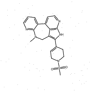 CN1Cc2c(C3=CCN(S(C)(=O)=O)CC3)[nH]c3nccc(c23)-c2cccnc21